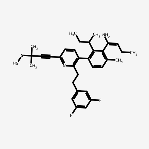 CC/C=C(/N)c1c(C)ccc(-c2ccc(C#CC(C)(C)SS)nc2CCc2cc(F)cc(F)c2)c1C(C)CC